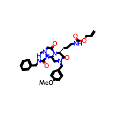 C=CCOC(=O)NCCC[C@@H]1C(=O)N(Cc2ccc(OC)cc2)CC2N1C(=O)CN(C)N2C(=O)NCc1ccccc1